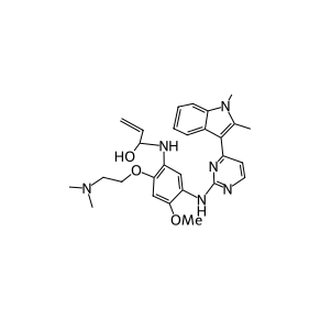 C=CC(O)Nc1cc(Nc2nccc(-c3c(C)n(C)c4ccccc34)n2)c(OC)cc1OCCN(C)C